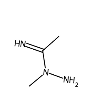 CC(=N)N(C)N